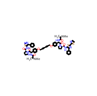 CN[C@@H](C)C(=O)N[C@H](C(=O)N1CCC[C@H]1C(=O)Nc1snnc1-c1ccccc1)c1ccc(OCC#CC#CCOc2ccc([C@H](NC(=O)[C@H](C)NC)C(=O)N3CCC[C@H]3C(=O)Nc3sc(-c4nccs4)nc3-c3ccccc3)cc2)cc1